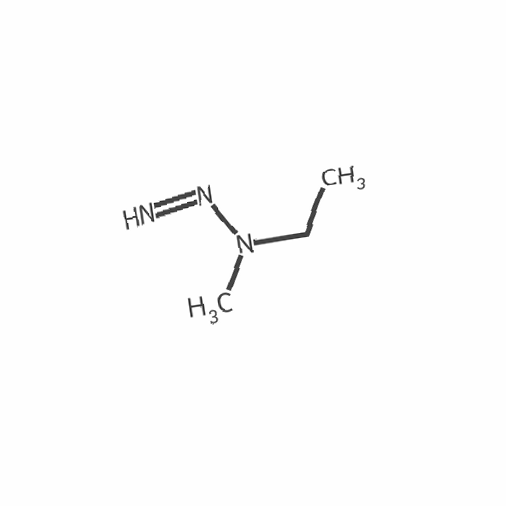 CCN(C)N=N